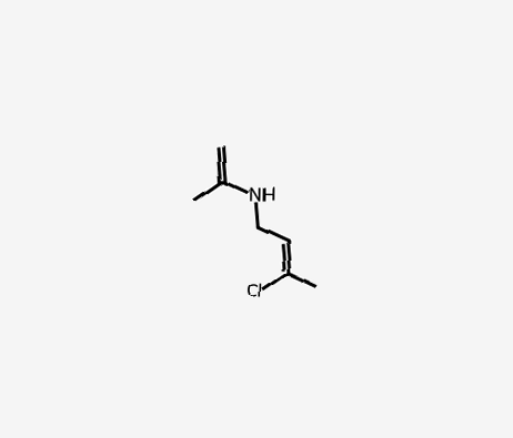 C=C(C)NCC=C(C)Cl